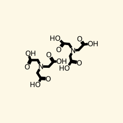 O=C(O)CN(CC(=O)O)CC(=O)O.O=C(O)CN(CC(=O)O)CC(=O)O